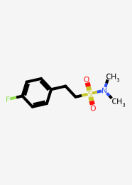 CN(C)S(=O)(=O)CCc1ccc(F)cc1